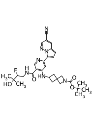 CC(C)(C)OC(=O)N1CC2(CC(Nc3cc(-c4ccc5cc(C#N)cnn45)ncc3C(=O)NCC(F)C(C)(C)O)C2)C1